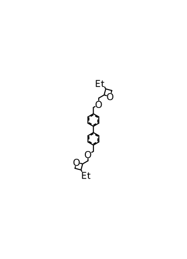 CCC1COC1COCc1ccc(-c2ccc(COCC3OCC3CC)cc2)cc1